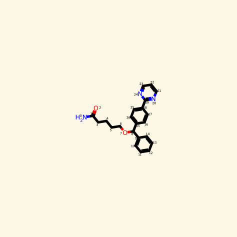 NC(=O)CCCCOC(c1ccccc1)c1ccc(-c2ncccn2)cc1